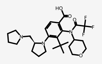 CC(C)(C)c1c(N2CCC[C@H]2CN2CCCC2)ccc(C(=O)O)c1N(C(=O)C(F)(F)F)C1CCOCC1